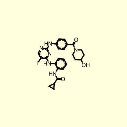 O=C(Nc1ccccc1Nc1nc(Nc2ccc(C(=O)N3CCC(O)CC3)cc2)ncc1I)C1CC1